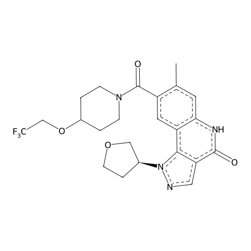 Cc1cc2[nH]c(=O)c3cnn([C@H]4CCOC4)c3c2cc1C(=O)N1CCC(OCC(F)(F)F)CC1